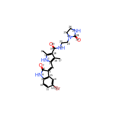 Cc1[nH]c(/C=C2\C(=O)Nc3ccc(Br)cc32)c(C)c1C(=O)NCCN1CCNC1=O